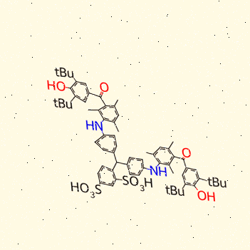 Cc1cc(C)c(C(=O)c2cc(C(C)(C)C)c(O)c(C(C)(C)C)c2)c(C)c1Nc1ccc(C(c2ccc(Nc3c(C)cc(C)c(C(=O)c4cc(C(C)(C)C)c(O)c(C(C)(C)C)c4)c3C)cc2)c2ccc(S(=O)(=O)O)cc2S(=O)(=O)O)cc1